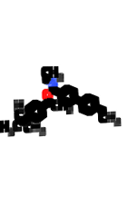 C=C/N=C(\OC(=C)c1ccc(C(C)(C)C)cc1)c1ccc(-c2ccc(C=C)cc2)cc1